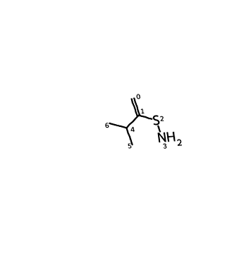 C=C(SN)C(C)C